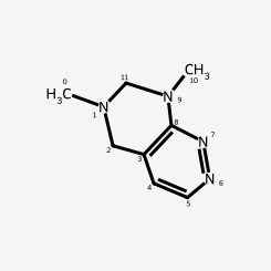 CN1Cc2ccnnc2N(C)C1